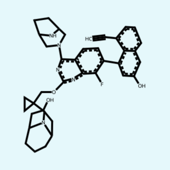 C#Cc1cccc2cc(O)cc(-c3ccc4c(N5CC6CCC(C5)N6)nc(OCC5(CN6C7CCCC6CC(O)C7)CC5)nc4c3F)c12